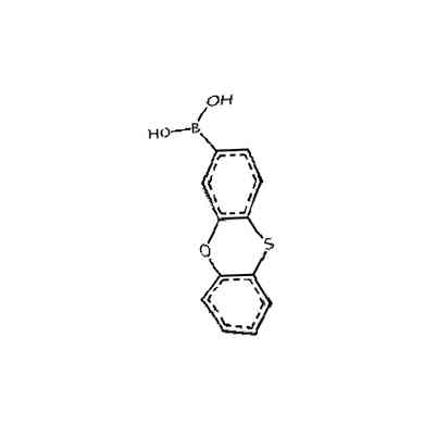 OB(O)c1ccc2c(c1)Oc1ccccc1S2